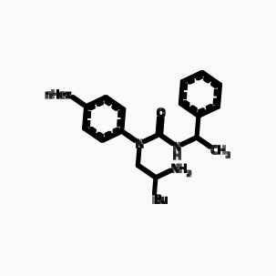 CCCCCCc1ccc(N(CC(N)C(C)CC)C(=O)NC(C)c2ccccc2)cc1